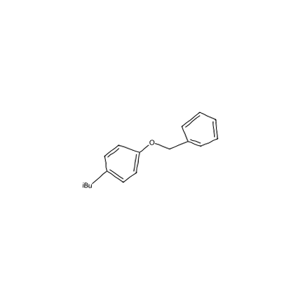 CCC(C)c1ccc(OCc2ccccc2)cc1